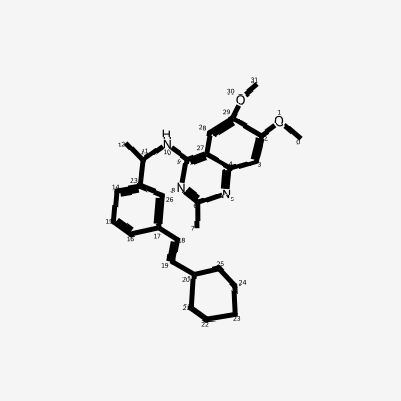 COc1cc2nc(C)nc(NC(C)c3cccc(/C=C/C4CCCCC4)c3)c2cc1OC